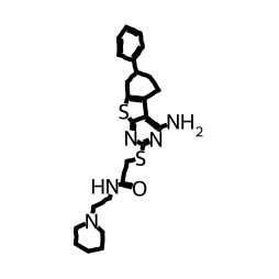 Nc1nc(SCC(=O)NCCN2CCCCC2)nc2sc3c(c12)CCC(c1ccccc1)C3